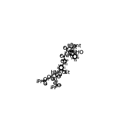 CCCCC[C@@H](C(=O)NCNC(=O)c1ccc(-c2ccc(C(=O)N[C@@H](CC(=O)OCOC(=O)C(C)C)C(=O)OCOC(=O)C(C)C)c(OCC)c2)o1)[C@@H](CC)N(C=O)OCc1ccccc1